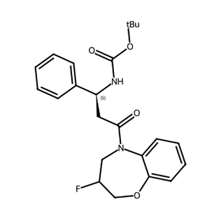 CC(C)(C)OC(=O)N[C@@H](CC(=O)N1CC(F)COc2ccccc21)c1ccccc1